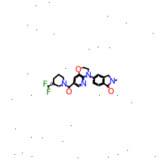 CN1Cc2cc(N3CCOc4cc(C(=O)N5CCC[C@H](C(F)F)C5)cnc43)ccc2C1=O